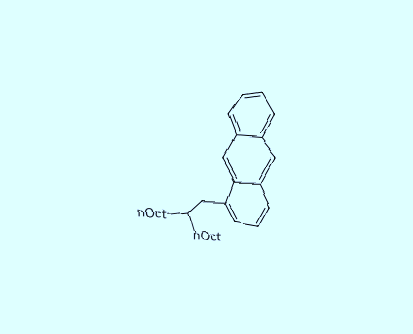 CCCCCCCCC(CCCCCCCC)Cc1cccc2cc3ccccc3cc12